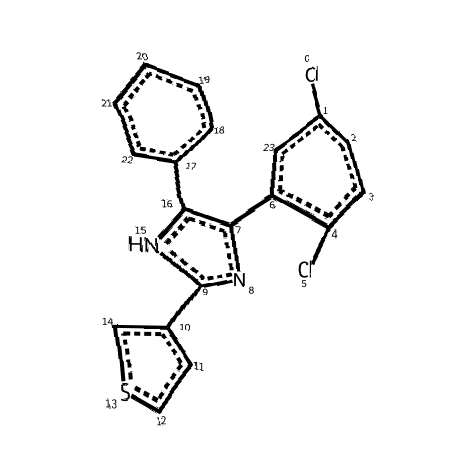 Clc1ccc(Cl)c(-c2nc(-c3ccsc3)[nH]c2-c2ccccc2)c1